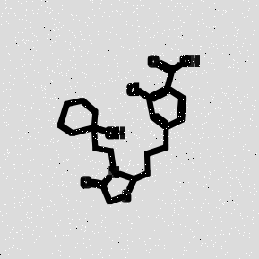 O=C(O)c1ccc(CCCC2SCC(=O)N2CCC2(O)CCCCC2)cc1Cl